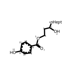 CCCCCCCC(O)CCOC(=O)c1ccc(O)cc1